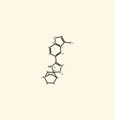 Fc1coc2ccc(C3=NOC4(CN5CCC4CC5)N3)cc12